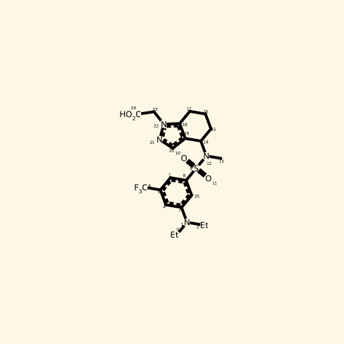 CCN(CC)c1cc(C(F)(F)F)cc(S(=O)(=O)N(C)C2CCCc3c2cnn3CC(=O)O)c1